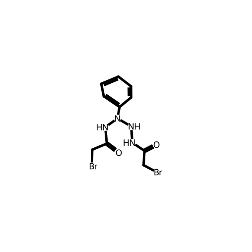 O=C(CBr)NNN(NC(=O)CBr)c1ccccc1